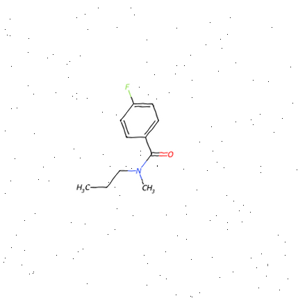 CCCN(C)C(=O)c1ccc(F)cc1